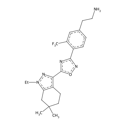 CCn1nc(-c2nc(-c3ccc(CCN)cc3C(F)(F)F)no2)c2c1CC(C)(C)CC2